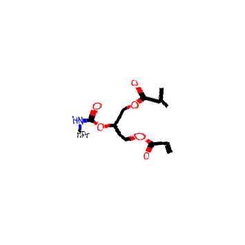 C=CC(=O)OCC(COC(=O)C(=C)C)OC(=O)NCCC